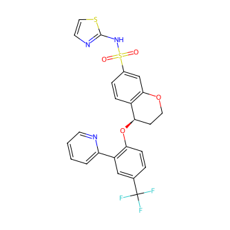 O=S(=O)(Nc1nccs1)c1ccc2c(c1)OCC[C@H]2Oc1ccc(C(F)(F)F)cc1-c1ccccn1